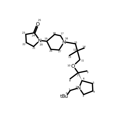 CC(C)(C)CN1CCC[C@H]1C(C)(C)OCC(C)(C)CN1CCC(N2CCCC2=O)CC1